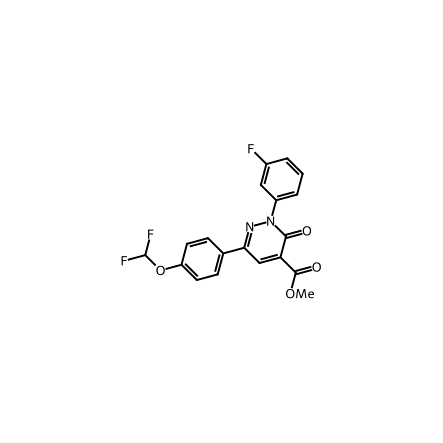 COC(=O)c1cc(-c2ccc(OC(F)F)cc2)nn(-c2cccc(F)c2)c1=O